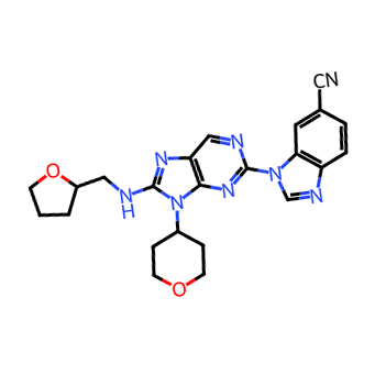 N#Cc1ccc2ncn(-c3ncc4nc(NCC5CCCO5)n(C5CCOCC5)c4n3)c2c1